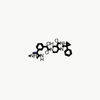 CN/C=C(\C(C)=N)c1cccc(C(O)C(=O)N2CCc3nc(C4(c5ccccc5)CC4)[nH]c(=O)c3C2)c1